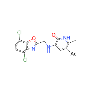 CC(=O)c1cc(NCc2nc3c(Cl)ccc(Cl)c3o2)c(=O)[nH]c1C